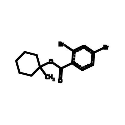 CC1(OC(=O)c2ccc(Br)cc2Br)CCCCC1